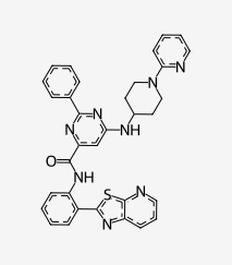 O=C(Nc1ccccc1-c1nc2cccnc2s1)c1cc(NC2CCN(c3ccccn3)CC2)nc(-c2ccccc2)n1